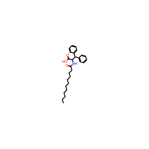 CCCCCCCCCCCC(=O)NC(C(=O)O)C(c1ccccc1)c1ccccc1